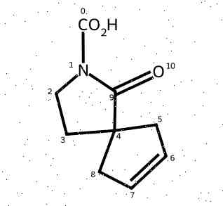 O=C(O)N1CCC2(CC=CC2)C1=O